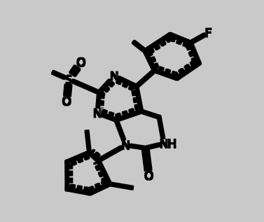 Cc1cc(F)ccc1-c1nc(S(C)(=O)=O)nc2c1CNC(=O)N2c1c(C)cccc1C